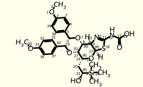 COc1ccc(CO[C@@H]2[C@H]3N=C(NC(=O)O)S[C@H]3O[C@H](C[C@H](O)[Si](C)(C)C)[C@@H]2OCc2ccc(OC)cc2)cc1